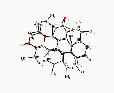 BBB(B(B)B)B(B(B)B)B(B(B(B)B)B(B)B)B(B(C)B(B(B(B)B)B(B)B)B(B(B)B)B(B)B(B)B)B(B(B(B(B)B)B(B)B)B(B(B)B)B(B(B)B)B(B)B)B(B(B(B)B)B(B)B)B(B(B)B(B)B)B(B(B)B)B(B)B